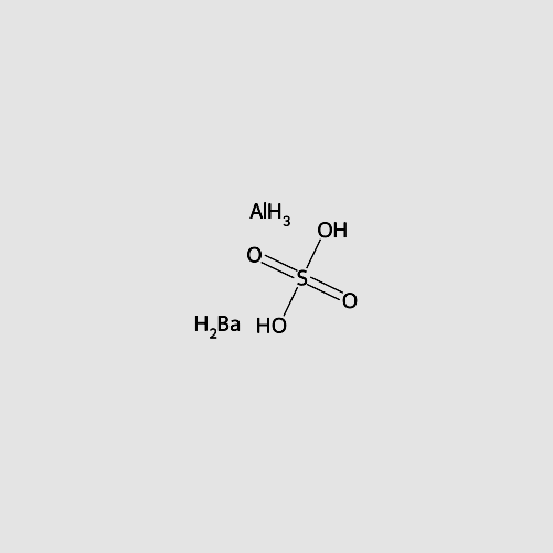 O=S(=O)(O)O.[AlH3].[BaH2]